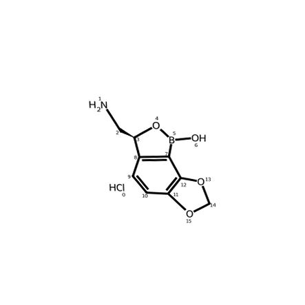 Cl.NC[C@H]1OB(O)c2c1ccc1c2OCO1